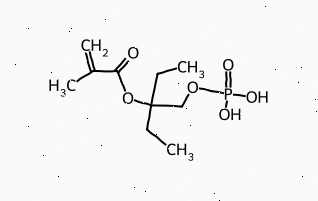 C=C(C)C(=O)OC(CC)(CC)COP(=O)(O)O